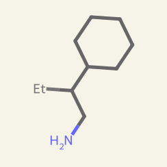 CCC(CN)C1CCCCC1